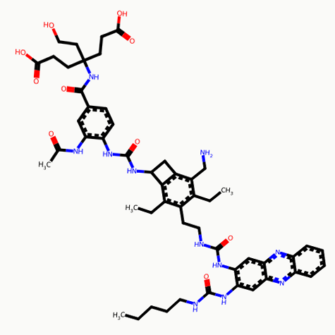 CCCCCNC(=O)Nc1cc2nc3ccccc3nc2cc1NC(=O)NCCc1c(CC)c(CN)c2c(c1CC)C(NC(=O)Nc1ccc(C(=O)NC(CCO)(CCC(=O)O)CCC(=O)O)cc1NC(C)=O)C2